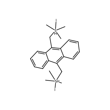 C[SH](C)(C)(I)Cc1c2ccccc2c(C[SH](C)(C)(C)I)c2ccccc12